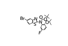 CC(C)Oc1ccc(F)cc1N(C(=O)OC(C)(C)C)c1nc2cc(Br)ccc2s1